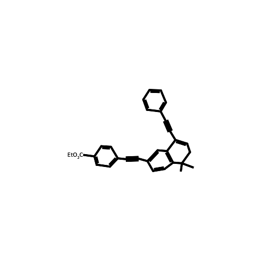 CCOC(=O)c1ccc(C#Cc2ccc3c(c2)C(C#Cc2ccccc2)=CCC3(C)C)cc1